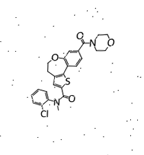 CN(C(=O)c1cc2c(s1)-c1ccc(C(=O)N3CCOCC3)cc1OCC2)c1ccccc1Cl